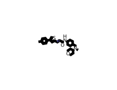 Cc1ccc(-c2csc(/C=C/C(=O)NC3CCC(CN(C)C4CCOCC4)CC3)c2)cc1